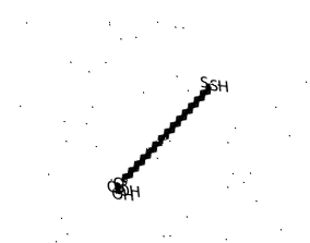 O=P(O)(O)OCCCCCCCCCCCCCCCCCCCCCCCCCCCCCC(=S)S